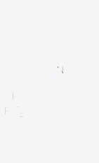 CCC(C)O/N=[C]/c1cccc(C(F)(F)F)c1